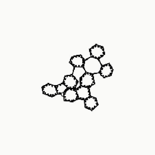 c1ccc2c(c1)-c1ccccc1-c1cccc(-c3ccc4oc5ccccc5c4c3)c1-c1cc3c4ccccc4c4ccccc4c3cc1-2